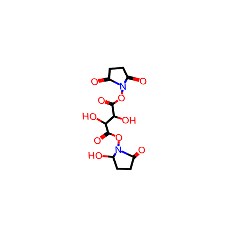 O=C(ON1C(=O)CCC1=O)C(O)C(O)C(=O)ON1C(=O)CCC1O